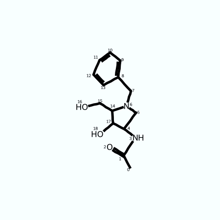 CC(=O)NC1CN(Cc2ccccc2)C(CO)C1O